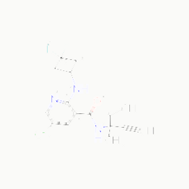 C#CC(C)(CC)NC(=O)c1cc(Cl)cnc1NC1CC(F)(F)C1